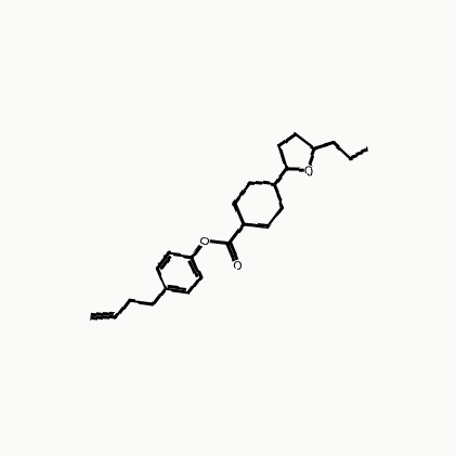 C=CCCc1ccc(OC(=O)C2CCC(C3CCC(CCC)O3)CC2)cc1